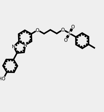 Cc1ccc(S(=O)(=O)OCCCOc2ccc3nc(-c4ccc(O)cc4)cn3c2)cc1